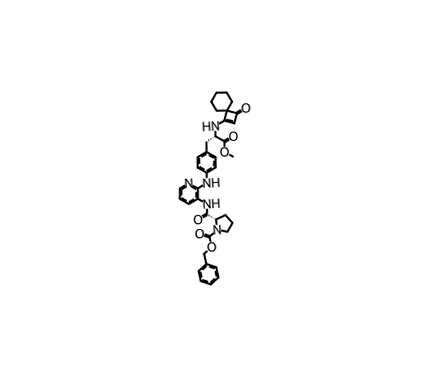 COC(=O)[C@H](Cc1ccc(Nc2ncccc2NC(=O)[C@@H]2CCCN2C(=O)OCc2ccccc2)cc1)NC1=CC(=O)C12CCCCC2